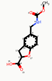 COC(=O)NCc1ccc2c(c1)CC(C(=O)O)O2